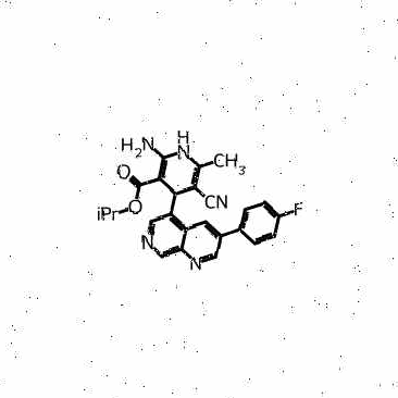 CC1=C(C#N)C(c2cncc3ncc(-c4ccc(F)cc4)cc23)C(C(=O)OC(C)C)=C(N)N1